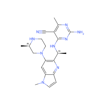 Cc1nc(N)nc(N[C@@H](C)c2nc3ccn(C)c3cc2N2CCN[C@H](C)C2)c1C#N